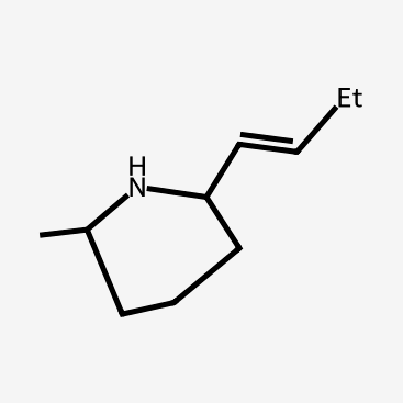 CCC=CC1CCCC(C)N1